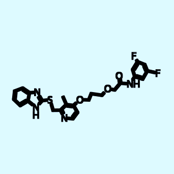 Cc1c(OCCCOCC(=O)Nc2cc(F)cc(F)c2)ccnc1CSc1nc2ccccc2[nH]1